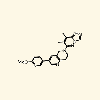 COc1ccc(-c2cnc3c(c2)CN(c2nn4cnnc4c(C)c2C)CC3)cn1